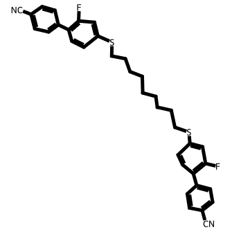 N#Cc1ccc(-c2ccc(SCCCCCCCCCSc3ccc(-c4ccc(C#N)cc4)c(F)c3)cc2F)cc1